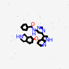 O=C(Nc1cc(-c2c[nH]c3nccc(Oc4ccc5c(c4)CNCC5)c23)ncn1)c1ccccc1